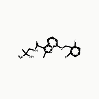 CCCC(C)(N)CNC(=O)c1c(C)nn2c(OCc3c(F)cccc3F)cccc12